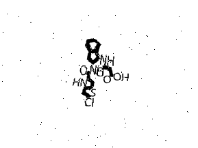 O=C(O)CC(=O)N[C@H]1c2ccccc2C[C@H]1NC(=O)C1Cc2sc(Cl)cc2N1